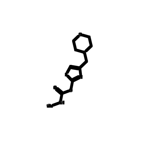 CC(C)(C)NC(=O)Oc1nc(CN2CCOCC2)cs1